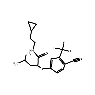 CC(C)CC(Oc1ccc(C#N)c(C(F)(F)F)c1)C(=O)NCCC1CC1